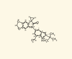 CC(C)(C)c1cc2cc(NC(=O)C3(c4ccc5c(c4)OCO5)CC3)cc(C=O)c2[nH]1